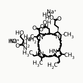 C=Cc1c(C)c2cc3nc(c(CC(=O)O)c4nc(cc5[nH]c(cc1[nH]2)c(C)c5CC)C(C)=C4C(=O)O)[C@@H](CCC(=O)O)[C@@H]3C.NC(=O)[C@@H](N)CO.[Na+].[Na+].[OH-].[OH-]